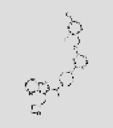 C[C@@H](c1nc2cccnc2n1C[C@@H]1CCO1)N1CCN(c2cccc(OCc3ccc(Cl)cc3F)n2)CC1